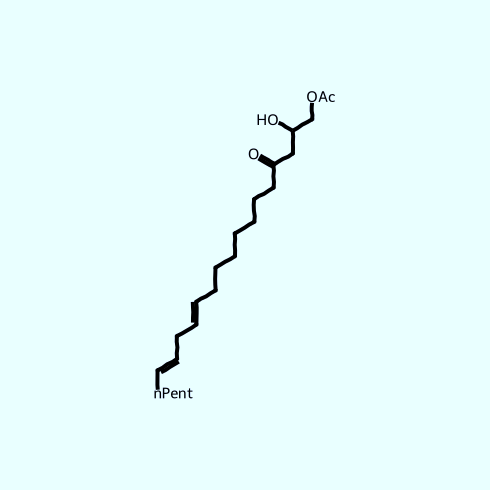 CCCCC/C=C/C/C=C/CCCCCCCC(=O)CC(O)COC(C)=O